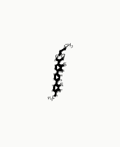 CCCC1OCC(c2ccc(-c3ccc(-c4ccc(CC)c(F)c4F)cc3)c(F)c2F)CO1